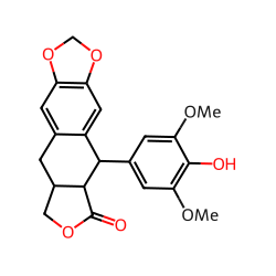 COc1cc(C2c3cc4c(cc3CC3COC(=O)C32)OCO4)cc(OC)c1O